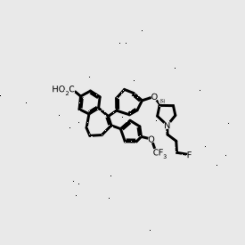 O=C(O)c1ccc2c(c1)CCCC(c1ccc(OC(F)(F)F)cc1)=C2C1=CCC=C(O[C@H]2CCN(CCCF)C2)C=C1